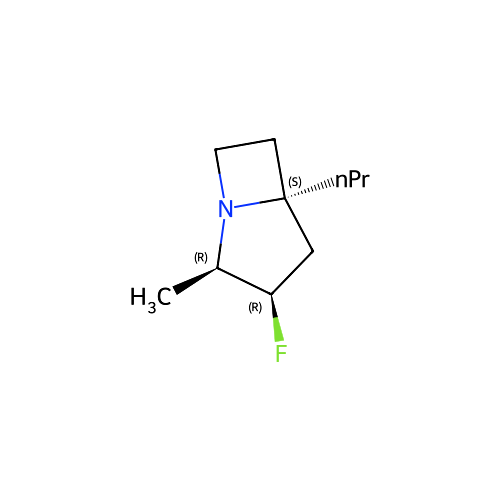 CCC[C@@]12CCN1[C@H](C)[C@H](F)C2